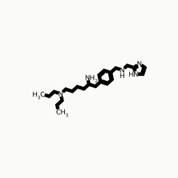 CCCN(CCC)CCCCC(N)Cc1ccc(CNCc2ncc[nH]2)cc1